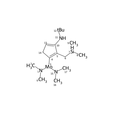 C[N](C)[Mo]([C]1=C(C[SiH](C)C)C(NC(C)(C)C)=CC1)[N](C)C